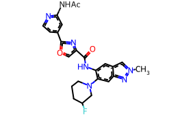 CC(=O)Nc1cc(-c2nc(C(=O)Nc3cc4cn(C)nc4cc3N3CCCC(F)C3)co2)ccn1